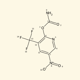 NC(=O)Oc1ncc([N+](=O)[O-])cc1C(F)(F)F